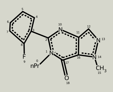 CCCn1c(-c2ccccc2F)nc2cnn(C)c2c1=O